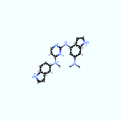 CN(C)c1cc(Nc2nccc(N(C)c3ccc4[nH]ccc4c3)n2)c2cc[nH]c2c1